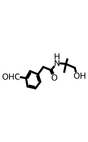 CC(C)(CO)NC(=O)Cc1cccc(C=O)c1